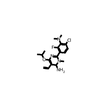 C=CC1=C(OC(C)C)N=C(c2ccc(Cl)c(N(C)C)c2F)N(C)C1N